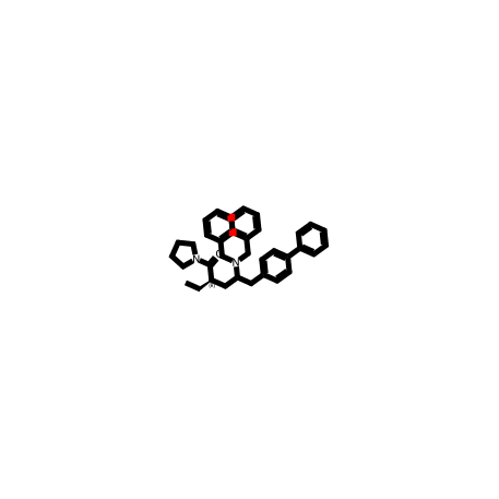 CC[C@H](CC(Cc1ccc(-c2ccccc2)cc1)N(Cc1ccccc1)Cc1ccccc1)C(=O)N1CCCC1